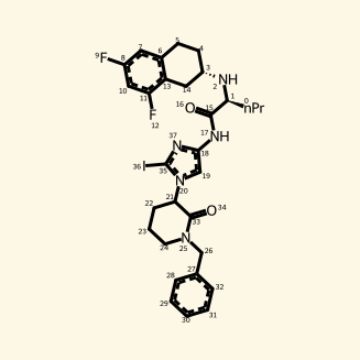 CCC[C@H](N[C@H]1CCc2cc(F)cc(F)c2C1)C(=O)Nc1cn(C2CCCN(Cc3ccccc3)C2=O)c(I)n1